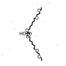 CCOCCOCCCCCCOP(=O)(O)OCCCCCCOCCOCC